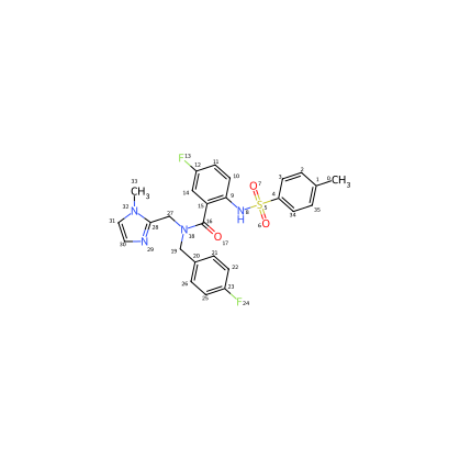 Cc1ccc(S(=O)(=O)Nc2ccc(F)cc2C(=O)N(Cc2ccc(F)cc2)Cc2nccn2C)cc1